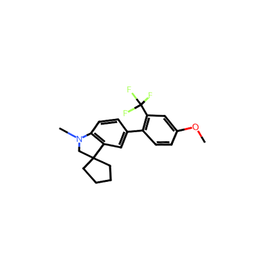 COc1ccc(-c2ccc3c(c2)C2(CCCC2)CN3C)c(C(F)(F)F)c1